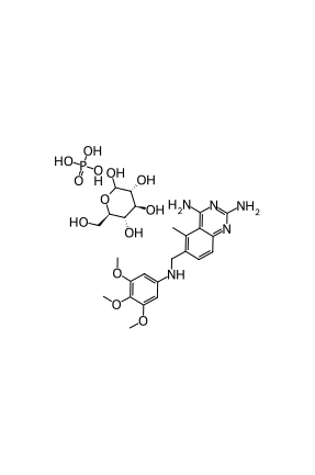 COc1cc(NCc2ccc3nc(N)nc(N)c3c2C)cc(OC)c1OC.O=P(O)(O)O.OC[C@H]1OC(O)[C@H](O)[C@@H](O)[C@@H]1O